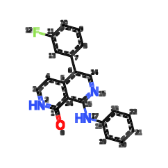 O=c1[nH]ccc2c(-c3cccc(F)c3)cnc(Nc3ccccc3)c12